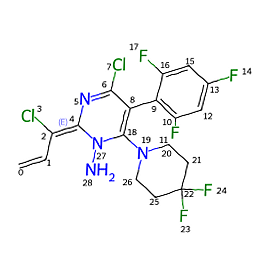 C=C/C(Cl)=C1/N=C(Cl)C(c2c(F)cc(F)cc2F)=C(N2CCC(F)(F)CC2)N1N